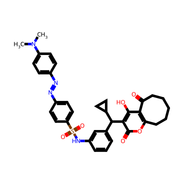 CN(C)c1ccc(N=Nc2ccc(S(=O)(=O)Nc3cccc(C(c4c(O)c5c(oc4=O)CCCCCC5=O)C4CC4)c3)cc2)cc1